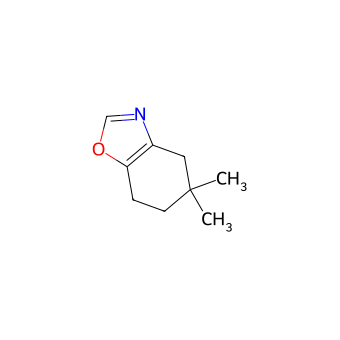 CC1(C)CCc2ocnc2C1